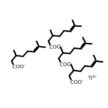 CC(C)=CCCC(C)CC(=O)[O-].CC(C)=CCCC(C)CC(=O)[O-].CC(C)=CCCC(C)CC(=O)[O-].CC(C)=CCCC(C)CC(=O)[O-].[Ti+4]